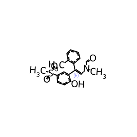 Cc1ccccc1/C(=C\N(C)C=O)c1cc(S(C)(=O)=O)ccc1O